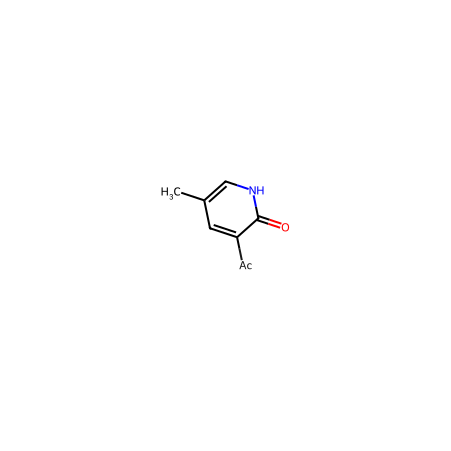 CC(=O)c1cc(C)c[nH]c1=O